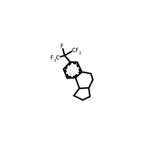 FC(F)(F)C(F)(c1ccc2c(c1)CCC1CCCC21)C(F)(F)F